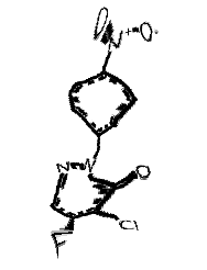 O=c1c(Cl)c(F)cnn1-c1ccc([N+](=O)[O-])cc1